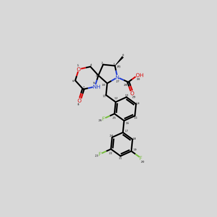 C[C@@H]1CC2(COCC(=O)N2)C(Cc2cccc(-c3cc(F)cc(F)c3)c2F)N1C(=O)O